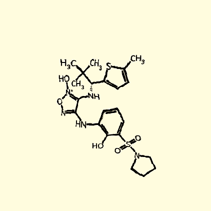 Cc1ccc([C@H](Nc2c(Nc3cccc(S(=O)(=O)N4CCCC4)c3O)no[n+]2O)C(C)(C)C)s1